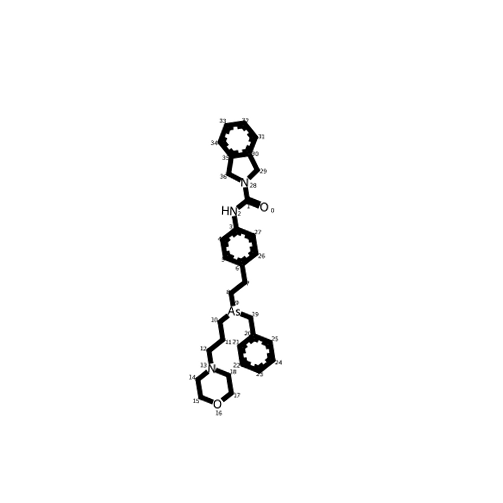 O=C(Nc1ccc(CC[As](CCCN2CCOCC2)Cc2ccccc2)cc1)N1Cc2ccccc2C1